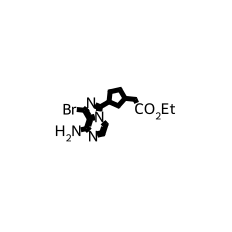 CCOC(=O)CC1CCC(c2nc(Br)c3c(N)nccn23)C1